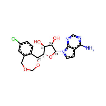 Nc1ncnc2c1ccn2[C@@H]1O[C@H]([C@@H]2OCOCc3cc(Cl)ccc32)[C@@H](O)[C@H]1O